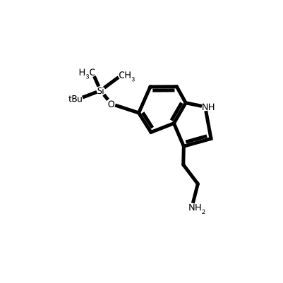 CC(C)(C)[Si](C)(C)Oc1ccc2[nH]cc(CCN)c2c1